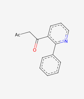 CC(=O)CC(=O)c1cccnc1-c1ccccc1